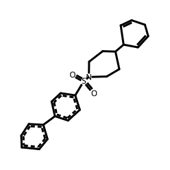 O=S(=O)(c1ccc(-c2ccccc2)cc1)N1CCC(C2C=CCC=C2)CC1